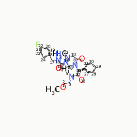 COCCN1C[C@H]2N(C(=O)CN(C)N2C(=O)NCc2ccc(F)cc2)[C@@H](c2ccccc2)C1=O